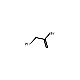 [CH2]CCCC(=C)CCC